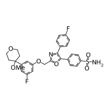 COC1(c2cc(F)cc(OCc3nc(-c4ccc(F)cc4)c(-c4ccc(S(N)(=O)=O)cc4)o3)c2)CCOCC1